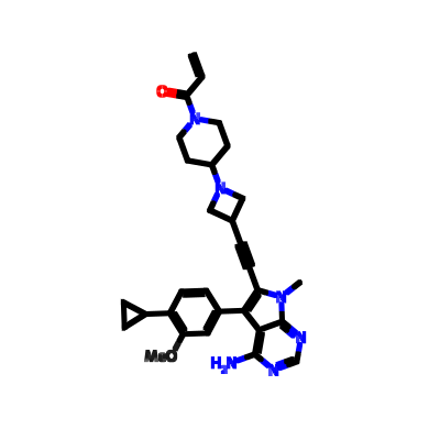 C=CC(=O)N1CCC(N2CC(C#Cc3c(-c4ccc(C5CC5)c(OC)c4)c4c(N)ncnc4n3C)C2)CC1